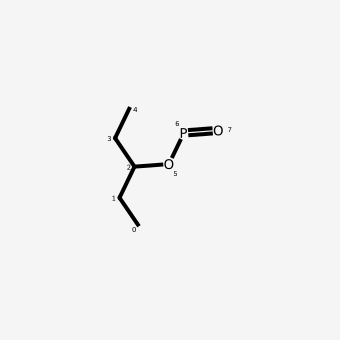 CCC(CC)OP=O